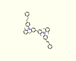 Cc1cc(-c2ccc3c(c2)Cc2cccc(C)c2N3c2ccc(CCc3ccccc3)cc2)ccc1N(c1ccc(/C=C/c2ccccc2)cc1)c1c(C)cccc1C